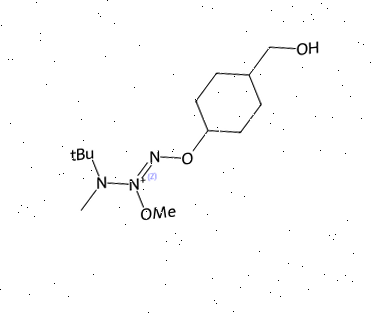 CO/[N+](=N\OC1CCC(CO)CC1)N(C)C(C)(C)C